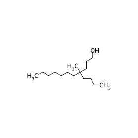 CCCCCCCC(C)(CCCC)CCCO